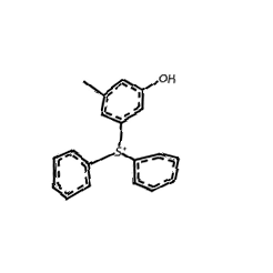 Cc1cc(O)cc([S+](c2ccccc2)c2ccccc2)c1